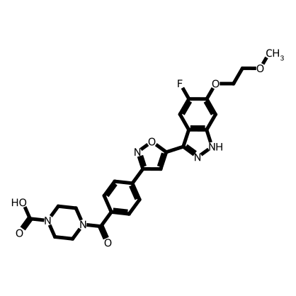 COCCOc1cc2[nH]nc(-c3cc(-c4ccc(C(=O)N5CCN(C(=O)O)CC5)cc4)no3)c2cc1F